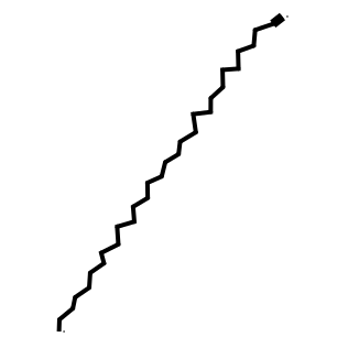 [C]#CCCCCCCCCCCCCCCCCCCCCCCCCCCC[CH2]